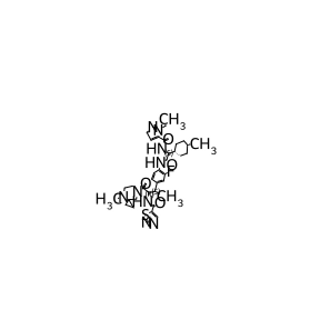 CCn1nccc1C(=O)N[C@H](C(=O)Nc1ccc([C@H](C)[C@@H](NC(=O)c2cnns2)C(=O)N2CCN(C)C3(CC3)C2)cc1F)[C@H]1CC[C@H](C)CC1